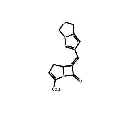 O=C(O)C1=CCC2/C(=C\c3cc4n(n3)CSC4)C(=O)N12